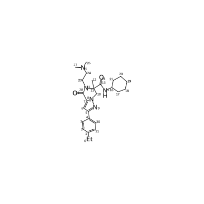 CCc1ccc(-c2cc3n(n2)CC(C)(C(=O)NC2CCCCC2)N(CCN(C)C)C3=O)cc1